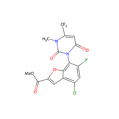 COC(=O)c1cc2c(Cl)cc(F)c(-n3c(=O)cc(C(F)(F)F)n(C)c3=O)c2o1